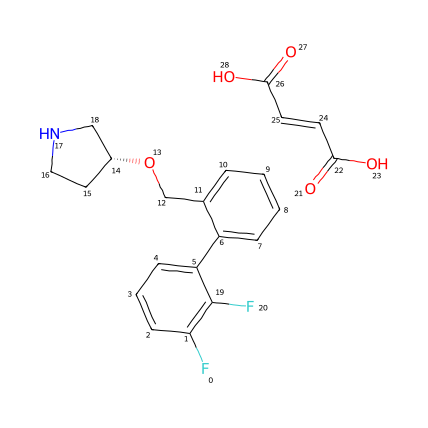 Fc1cccc(-c2ccccc2CO[C@@H]2CCNC2)c1F.O=C(O)C=CC(=O)O